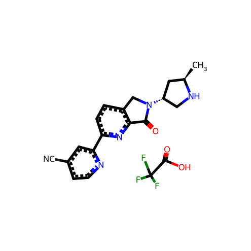 C[C@@H]1C[C@@H](N2Cc3ccc(-c4cc(C#N)ccn4)nc3C2=O)CN1.O=C(O)C(F)(F)F